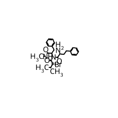 CNC(=O)C(Cc1ccccc1)N(C(=O)C(N)CCc1ccccc1)C(=O)[C@H](Br)C(C)C